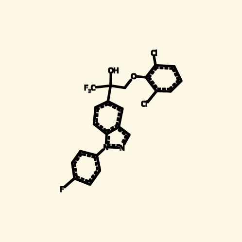 OC(COc1c(Cl)cccc1Cl)(c1ccc2c(cnn2-c2ccc(F)cc2)c1)C(F)(F)F